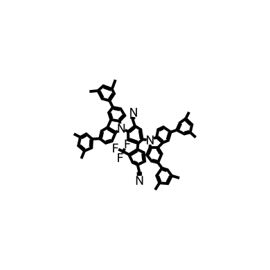 Cc1cc(C)cc(-c2ccc3c(c2)c2cc(-c4cc(C)cc(C)c4)ccc2n3-c2cc(-c3ccc(C#N)cc3C(F)(F)F)c(-n3c4ccc(-c5cc(C)cc(C)c5)cc4c4cc(-c5cc(C)cc(C)c5)ccc43)cc2C#N)c1